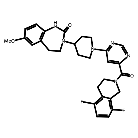 COc1ccc2c(c1)CCN(C1CCN(c3cc(C(=O)N4CCc5c(F)ccc(F)c5C4)ncn3)CC1)C(=O)N2